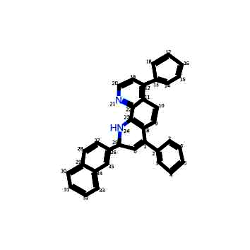 C1=C(c2ccccc2)c2ccc3c(-c4ccccc4)ccnc3c2NC1c1ccc2ccccc2c1